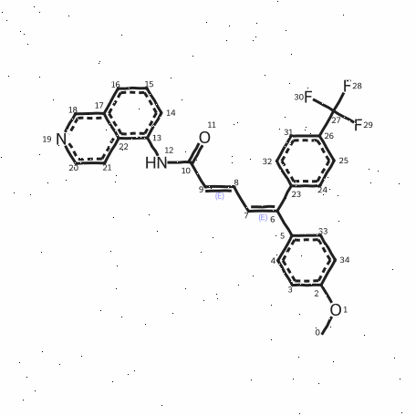 COc1ccc(/C(=C/C=C/C(=O)Nc2cccc3cnccc23)c2ccc(C(F)(F)F)cc2)cc1